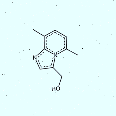 Cc1ccc(C)n2c(CO)cnc12